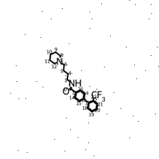 O=C(NCCCCN1CCCCC1)c1ccc(-c2ccccc2C(F)(F)F)cc1